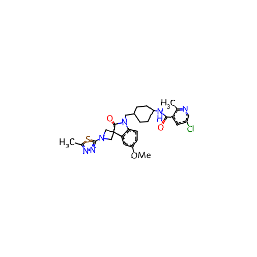 COc1ccc2c(c1)C1(CN(c3nnc(C)s3)C1)C(=O)N2CC1CCC(NC(=O)c2cc(Cl)cnc2C)CC1